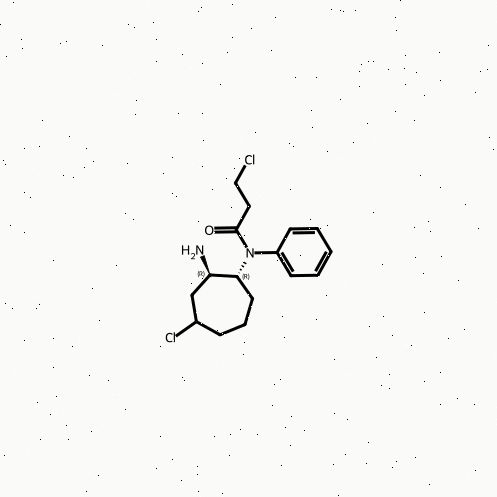 N[C@@H]1CC(Cl)CCC[C@H]1N(C(=O)CCCl)c1ccccc1